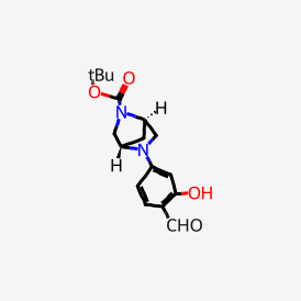 CC(C)(C)OC(=O)N1C[C@@H]2C[C@@H]1CN2c1ccc(C=O)c(O)c1